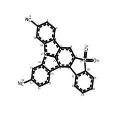 N#Cc1ccc2c3cc4c(c5c6ccc(C#N)cc6n(c2c1)c35)-c1ccccc1S4(=O)=O